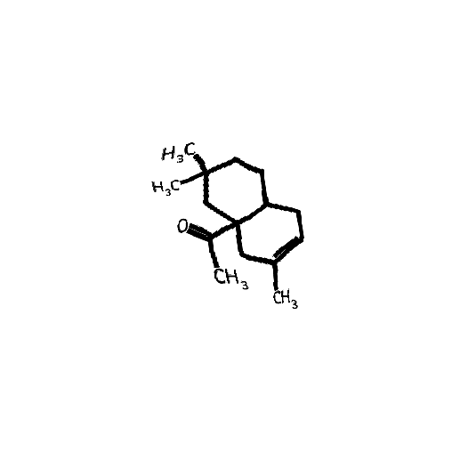 CC(=O)C12CC(C)=CCC1CCC(C)(C)C2